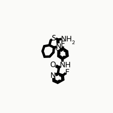 NC1=N[C@@]2(c3cc(NC(=O)c4ncccc4F)ccc3F)CCCCCC2CS1